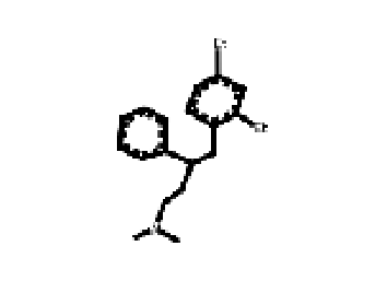 CCc1ccc(CC(CCN(C)C)c2ccccc2)c(CC)c1